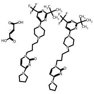 CC(C)(C)c1nc(N2CCN(CCCCn3ccc(N4CCCC4)nc3=O)CC2)cc(C(F)(F)F)n1.CC(C)(C)c1nc(N2CCN(CCCCn3ccc(N4CCCC4)nc3=O)CC2)cc(C(F)(F)F)n1.O=C(O)/C=C/C(=O)O